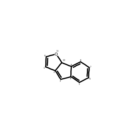 C1=CC2=Cc3ccccc3C2O1